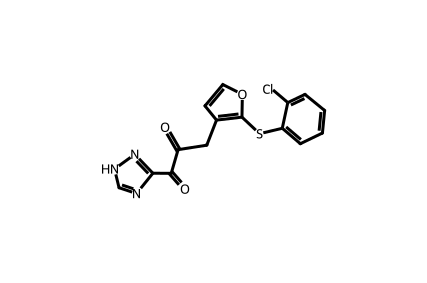 O=C(Cc1ccoc1Sc1ccccc1Cl)C(=O)c1nc[nH]n1